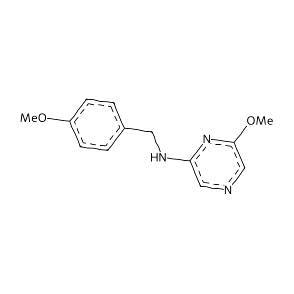 COc1ccc(CNc2cncc(OC)n2)cc1